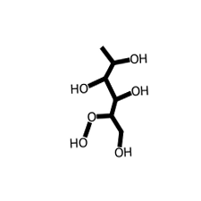 CC(O)C(O)C(O)C(CO)OO